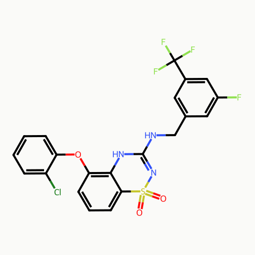 O=S1(=O)N=C(NCc2cc(F)cc(C(F)(F)F)c2)Nc2c(Oc3ccccc3Cl)cccc21